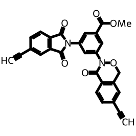 C#Cc1ccc2c(c1)CON(c1cc(C(=O)OC)cc(N3C(=O)c4ccc(C#C)cc4C3=O)c1)C2=O